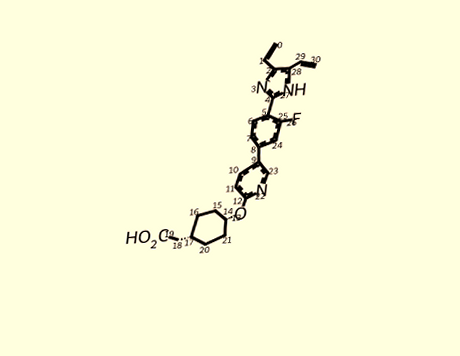 C=Cc1nc(-c2ccc(-c3ccc(O[C@H]4CC[C@@H](CC(=O)O)CC4)nc3)cc2F)[nH]c1C=C